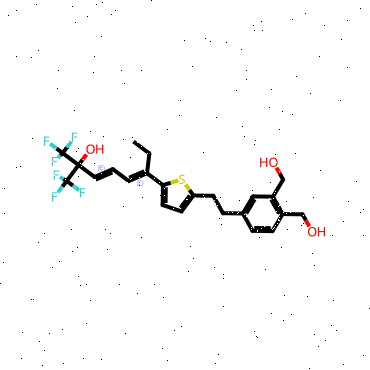 CC/C(=C\C=C\C(O)(C(F)(F)F)C(F)(F)F)c1ccc(CCc2ccc(CO)c(CO)c2)s1